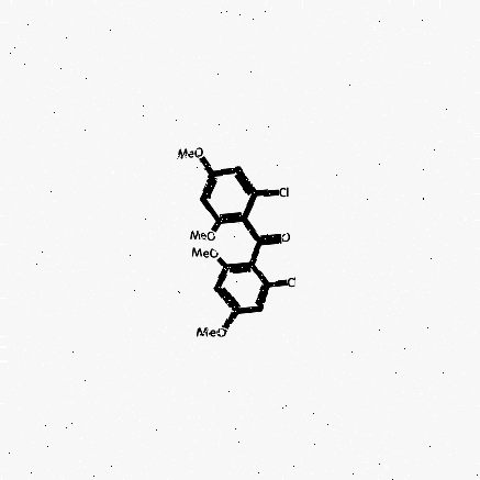 COc1cc(Cl)c(C(=O)c2c(Cl)cc(OC)cc2OC)c(OC)c1